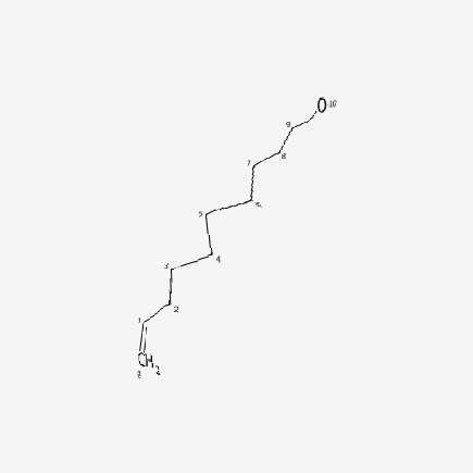 C=CCCCCCCCC[O]